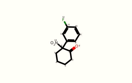 O=C1CCCCC1(c1cccc(F)c1)[N+](=O)[O-]